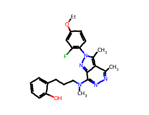 CCOc1ccc(-n2nc3c(N(C)CCCc4ccccc4O)nnc(C)c3c2C)c(F)c1